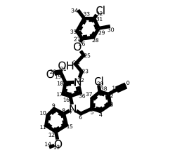 C#Cc1ccc(CN(c2cccc(OC)c2)c2cc(C(=O)O)n(CCCOc3cc(C)c(Cl)c(C)c3)c2)cc1Cl